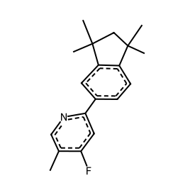 Cc1cnc(-c2ccc3c(c2)C(C)(C)CC3(C)C)cc1F